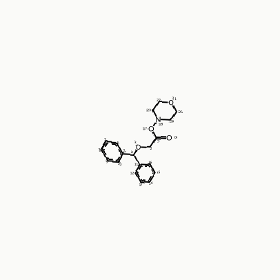 O=C(COC(c1ccccc1)c1ccccc1)ON1CCOCC1